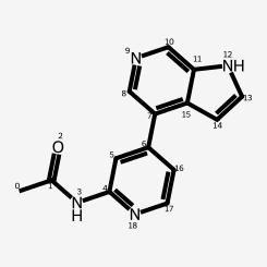 CC(=O)Nc1cc(-c2cncc3[nH]ccc23)ccn1